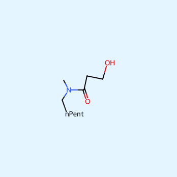 CCCCCCN(C)C(=O)CCO